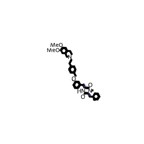 COc1cc2c(cc1OC)CN(CCc1ccc(COc3cccc(/C=c4\[nH]c(=O)/c(=C/c5ccccc5)n(C)c4=O)c3)cc1)CC2